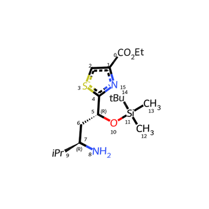 CCOC(=O)c1csc([C@@H](C[C@@H](N)C(C)C)O[Si](C)(C)C(C)(C)C)n1